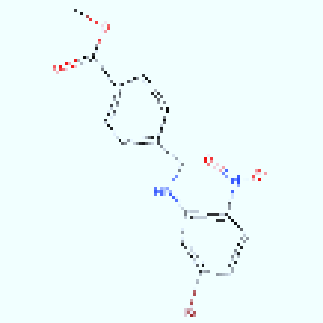 COC(=O)c1ccc(CNc2cc(Br)ccc2[N+](=O)[O-])cc1